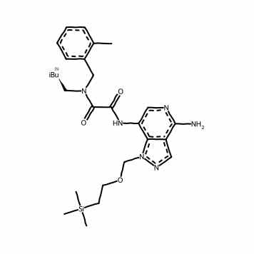 CC[C@H](C)CN(Cc1ccccc1C)C(=O)C(=O)Nc1cnc(N)c2cnn(COCC[Si](C)(C)C)c12